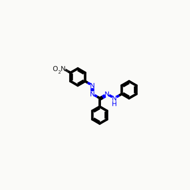 O=[N+]([O-])c1ccc(N=NC(=NNc2ccccc2)c2ccccc2)cc1